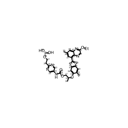 CCOc1cnc2c(-c3nc4cc(F)c(OC(C)COC(=O)Nc5cnc(CCOP(O)O)nc5)cc4s3)cc(C)cc2n1